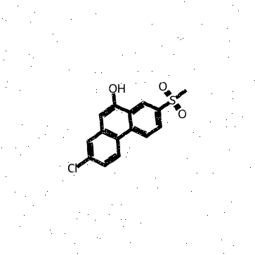 CS(=O)(=O)c1ccc2c(c1)c(O)cc1cc(Cl)ccc12